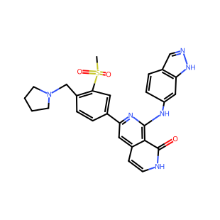 CS(=O)(=O)c1cc(-c2cc3cc[nH]c(=O)c3c(Nc3ccc4cn[nH]c4c3)n2)ccc1CN1CCCC1